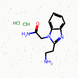 Cl.Cl.NCCc1nc2ccccc2n1CC(N)=O